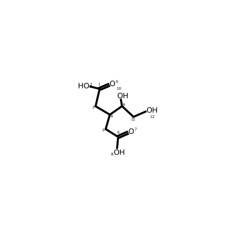 O=C(O)CC(CC(=O)O)C(O)CO